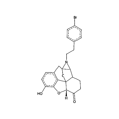 O=C1CCC2C3N(CCc4ccc(Br)cc4)C34Cc3ccc(O)c5c3C2(C4)[C@H]1O5